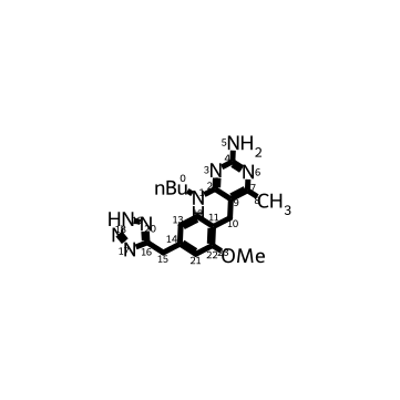 CCCCNc1nc(N)nc(C)c1Cc1ccc(Cc2nn[nH]n2)cc1OC